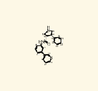 O=C(Nc1cccc(-c2cccnc2)c1)[C@@H]1CNC[C@H]1c1ccccc1